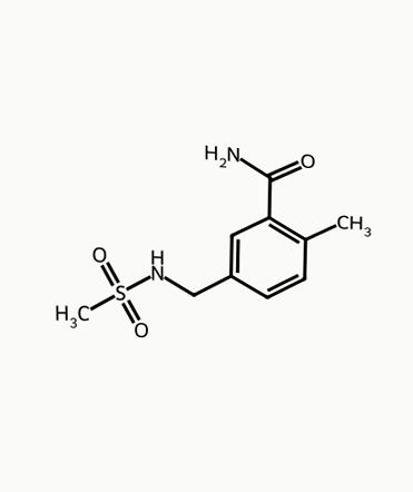 Cc1ccc(CNS(C)(=O)=O)cc1C(N)=O